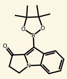 CC1(C)OB(c2c3n(c4ccccc24)CCC3=O)OC1(C)C